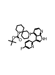 CC(C)(C)OC(=O)N1CCCCC12CCCN(c1ccnc3[nH]cc(-c4ccc(F)cn4)c13)C2